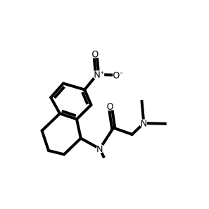 CN(C)CC(=O)N(C)C1CCCc2ccc([N+](=O)[O-])cc21